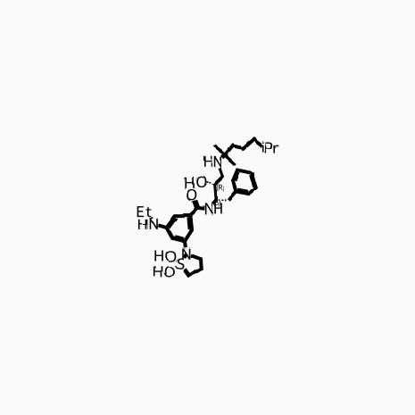 CCNc1cc(C(=O)N[C@@H](Cc2ccccc2)[C@H](O)CNC(C)(C)CCCC(C)C)cc(N2CCCS2(O)O)c1